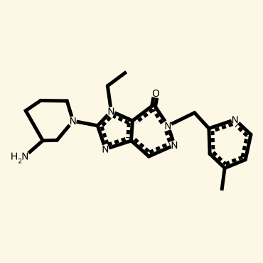 CCn1c(N2CCCC(N)C2)nc2cnn(Cc3cc(C)ccn3)c(=O)c21